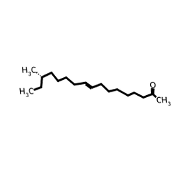 CC[C@H](C)CCCC/C=C/CCCCCCC(C)=O